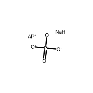 O=P([O-])([O-])[O-].[Al+3].[NaH]